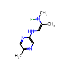 C/C(=C/Nc1cnc(C)cn1)N(C)F